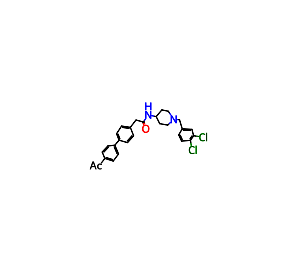 CC(=O)c1ccc(-c2ccc(CC(=O)NC3CCN(Cc4ccc(Cl)c(Cl)c4)CC3)cc2)cc1